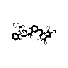 O=C(c1cc(Cc2c[nH]c(=O)c3cc(Cl)c(Cl)n23)ccc1F)N1CC[N+](OC(=O)C(F)(F)F)(c2ccccc2F)CC1